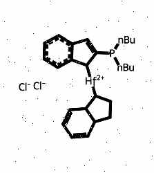 CCCCP(CCCC)C1=Cc2ccccc2[CH]1[Hf+2][CH]1CCC2C=CC=CC21.[Cl-].[Cl-]